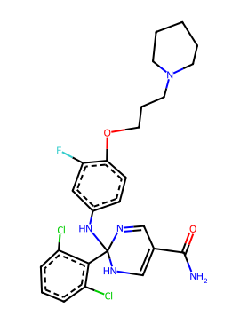 NC(=O)C1=CNC(Nc2ccc(OCCCN3CCCCC3)c(F)c2)(c2c(Cl)cccc2Cl)N=C1